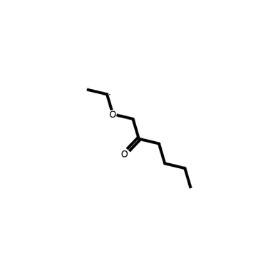 C[CH]OCC(=O)CCCC